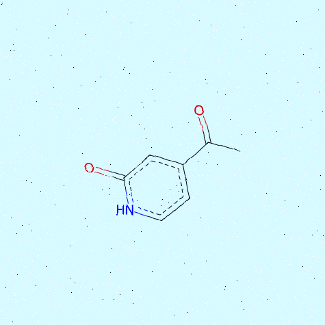 CC(=O)c1cc[nH]c(=O)c1